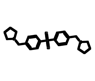 O=S(=O)(c1ccc(CN2CCCC2)cc1)c1ccc(CN2CCCC2)cc1